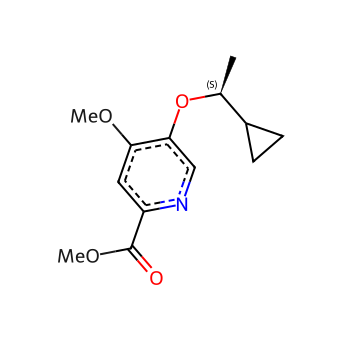 COC(=O)c1cc(OC)c(O[C@@H](C)C2CC2)cn1